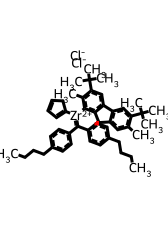 CCCCc1ccc([C](c2ccc(CCCC)cc2)=[Zr+2]([C]2=CC=CC2)[c]2c(C)c(C(C)(C)C)cc3c2Cc2cc(C)c(C(C)(C)C)cc2-3)cc1.[Cl-].[Cl-]